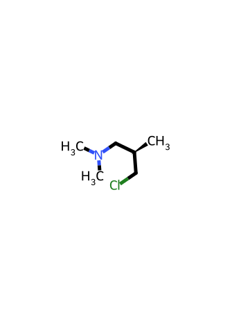 C[C@@H](CCl)CN(C)C